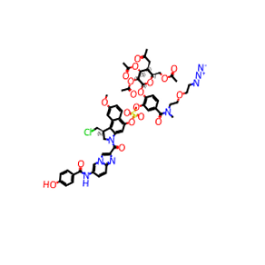 COc1ccc2c(OS(=O)(=O)Oc3cc(C(=O)N(C)CCOCCN=[N+]=[N-])ccc3O[C@@H]3O[C@H](COC(C)=O)[C@H](CC(C)=O)[C@H](OC(C)=O)[C@@H]3OC(C)=O)cc3c(c2c1)[C@H](CCl)CN3C(=O)c1cn2cc(NC(=O)c3ccc(O)cc3)ccc2n1